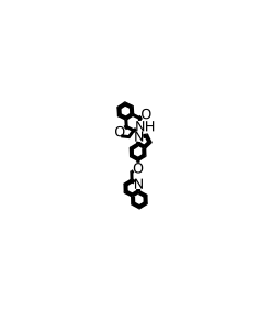 CCC1(n2ccc3cc(OCc4ccc5ccccc5n4)ccc32)NC(=O)c2ccccc2C1=O